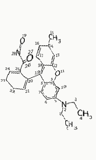 CCN(CC)c1ccc2c(c1)OC1=CC(C)C=CC1=C2C1=CCCC=C1C(=O)N=O